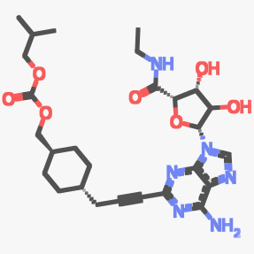 CCNC(=O)[C@H]1O[C@@H](n2cnc3c(N)nc(C#CC[C@H]4CC[C@H](COC(=O)OCC(C)C)CC4)nc32)C(O)[C@H]1O